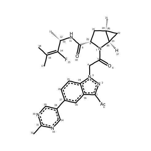 CC(=O)c1nn(CC(=O)N2[C@H](C(=O)N[C@@H](C)C(F)=C(C)C)C[C@@]3(C)C[C@@H]23)c2ccc(-c3cnc(C)nc3)cc12